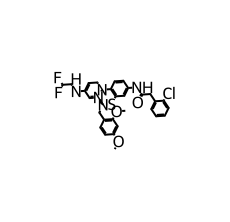 COc1ccc(CN(C)Sc2cc(NC(=O)Cc3ccccc3Cl)ccc2N2CC=C(NCC(F)F)C=N2)c(OC)c1